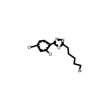 Clc1ccc(-c2nnc(CCCCCBr)o2)c(Cl)c1